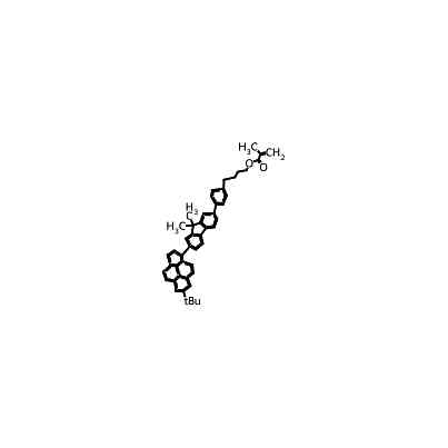 C=C(C)C(=O)OCCCCc1ccc(-c2ccc3c(c2)C(C)(C)c2cc(-c4ccc5ccc6cc(C(C)(C)C)cc7ccc4c5c67)ccc2-3)cc1